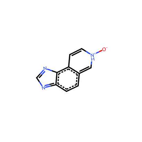 [O-][NH+]1C=Cc2c3c(ccc2=C1)=NC=N3